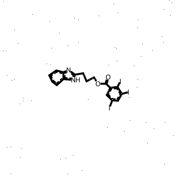 O=C(OCCCc1nc2ccccc2[nH]1)c1cc(I)cc(I)c1I